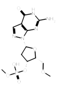 COC[C@H]1O[C@@H](n2ncc3c(=O)[nH]c(N)nc32)C[C@H]1OP(=O)(O)OC